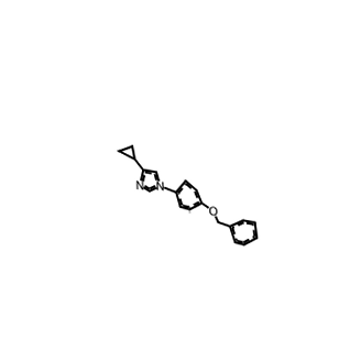 [c]1cc(-n2cnc(C3CC3)c2)ccc1OCc1ccccc1